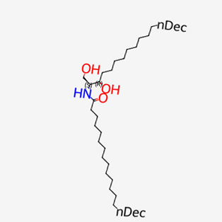 CCCCCCCCCCCCCCCCCCCCCCCC(=O)N[C@@H](CO)[C@H](O)CCCCCCCCCCCCCCCCCCC